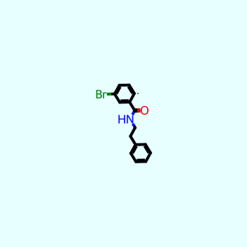 O=C(NCCc1ccccc1)c1[c]ccc(Br)c1